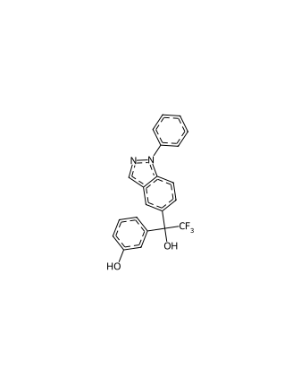 Oc1cccc(C(O)(c2ccc3c(cnn3-c3ccccc3)c2)C(F)(F)F)c1